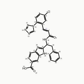 O=C(/C=C/c1cc(Cl)ccc1-n1cnnn1)NC(Cc1ccccc1)c1nc2cnc(C(=O)O)cc2[nH]1